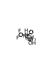 C[C@H](N[N+](=CNCC(=O)O)c1cc(F)cc(F)c1)c1ccccc1